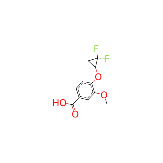 COc1cc(C(=O)O)ccc1OC1CC1(F)F